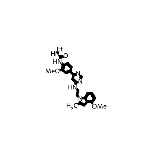 CCNC(=O)Nc1ccc(-c2cc(NCCn3c(C)cc4c(OC)cccc43)ncn2)cc1OC